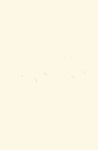 Nc1nccc2c(-c3cccc(NC(=O)Nc4cc(C(F)(F)F)ccc4F)c3)cccc12